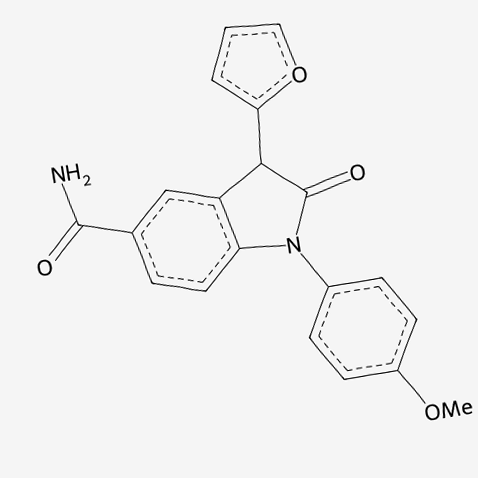 COc1ccc(N2C(=O)C(c3ccco3)c3cc(C(N)=O)ccc32)cc1